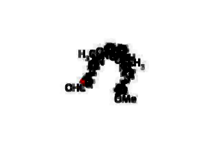 COCC12CCC(CCN3CCc4c(nc(C(=O)Nc5cccc(-c6cccc(NC(=O)c7nc8c(n7C)CCN(CCC79CCC(C=O)(CC7)C9)C8)c6C)c5Cl)n4C)C3)(CC1)C2